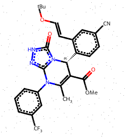 COC(=O)C1=C(C)N(c2cccc(C(F)(F)F)c2)c2n[nH]c(=O)n2[C@@H]1c1ccc(C#N)cc1C=COC(C)(C)C